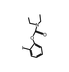 CCN(CC)C(=O)Oc1ccccc1I